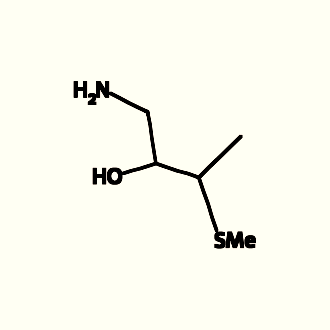 CSC(C)C(O)CN